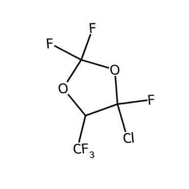 FC1(F)OC(C(F)(F)F)C(F)(Cl)O1